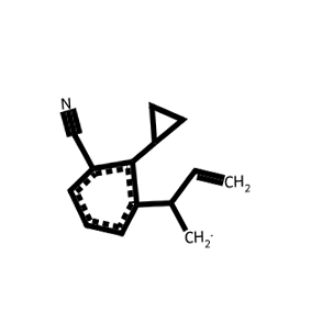 [CH2]C(C=C)c1cccc(C#N)c1C1CC1